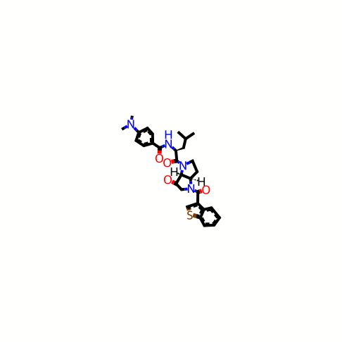 CC(C)C[C@H](NC(=O)c1ccc(N(C)C)cc1)C(=O)N1CC[C@@H]2[C@H]1C(=O)CN2C(=O)c1csc2ccccc12